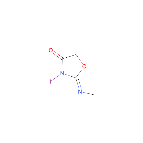 C/N=C1\OCC(=O)N1I